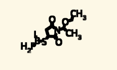 CCOC(C)N1C(=O)CC(SB(P)I)C1=O